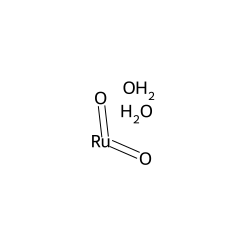 O.O.[O]=[Ru]=[O]